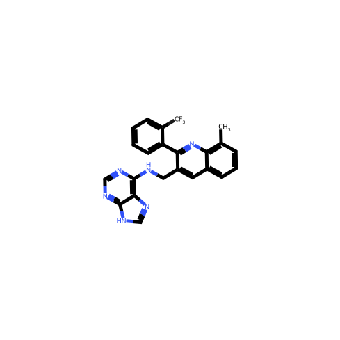 Cc1cccc2cc(CNc3ncnc4[nH]cnc34)c(-c3ccccc3C(F)(F)F)nc12